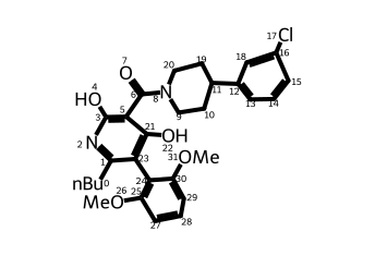 CCCCc1nc(O)c(C(=O)N2CCC(c3cccc(Cl)c3)CC2)c(O)c1-c1c(OC)cccc1OC